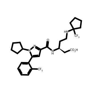 O=C(O)C[C@H](CCNC1(C(F)(F)F)CCCC1)NC(=O)c1cc(-c2ccccc2C(F)(F)F)n(C2CCCC2)n1